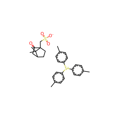 CC1(C)C2CCC1(CS(=O)(=O)[O-])C(=O)C2.Cc1ccc([S+](c2ccc(C)cc2)c2ccc(C)cc2)cc1